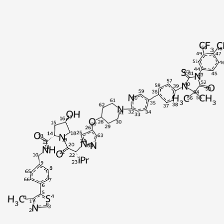 Cc1ncsc1-c1ccc(CNC(=O)[C@@H]2C[C@@H](O)CN2C(=O)[C@@H](C(C)C)n2cc(OC3CCN(c4ccc(-c5ccc(N6C(=S)N(c7ccc(C#N)c(C(F)(F)F)c7)C(=O)C6(C)C)cc5)cn4)CC3)cn2)cc1